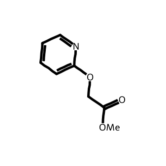 COC(=O)COc1ccccn1